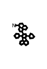 N#CC1=C2C=CC(c3cc(-c4ccccc4)c4c(c3-c3ccccc3)-c3cccc5cccc-4c35)=C3C=CC=C(C=C1)C23